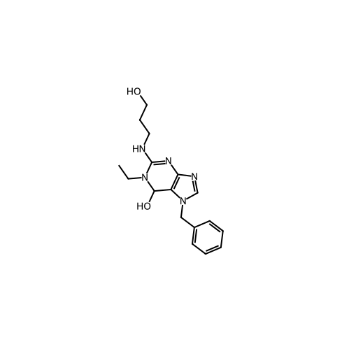 CCN1C(NCCCO)=Nc2ncn(Cc3ccccc3)c2C1O